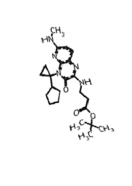 CNc1ccc2nc(NCCC(=O)OC(C)(C)C)c(=O)n(C3(C4CCCC4)CC3)c2n1